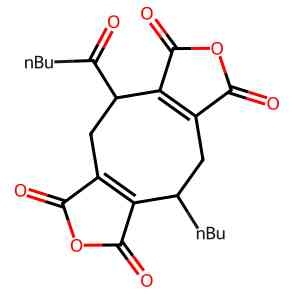 CCCCC(=O)C1CC2=C(C(=O)OC2=O)C(CCCC)CC2=C1C(=O)OC2=O